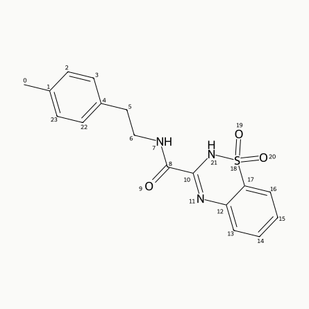 Cc1ccc(CCNC(=O)C2=Nc3ccccc3S(=O)(=O)N2)cc1